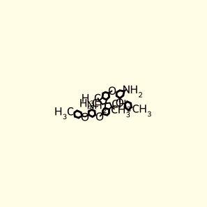 Cc1ccc(Oc2cc(N)cc(Oc3ccc4c(c3)C3(CC4(C)C)CC(C)(C)c4ccc(Oc5cc(N)cc(Oc6ccc(C)cc6)c5)cc43)c2)cc1